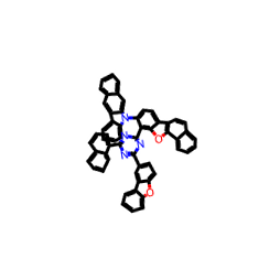 c1ccc2cc3c(cc2c1)c1ccccc1n3-c1ccc2c(oc3c4ccccc4ccc23)c1-c1nc(-c2ccc3oc4ccccc4c3c2)nc(-c2cccc3ccccc23)n1